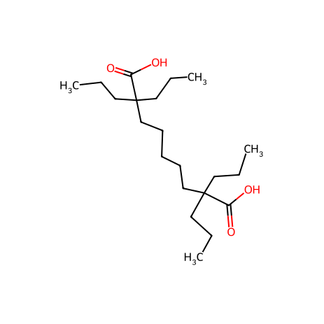 CCCC(CCC)(CCCCCC(CCC)(CCC)C(=O)O)C(=O)O